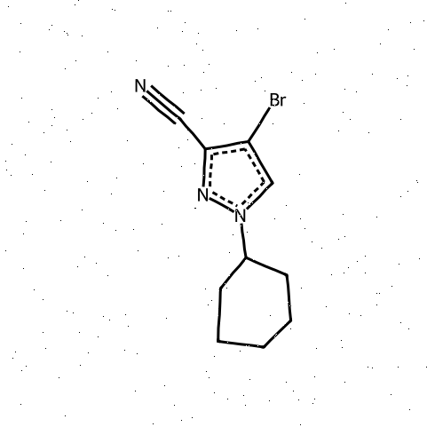 N#Cc1nn(C2CCCCC2)cc1Br